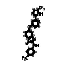 Cn1c(Nc2ccc(C(F)(F)F)cc2)nc2cc(Oc3ccnc(C4=NCC(C(F)(F)F)N4)c3)ccc21